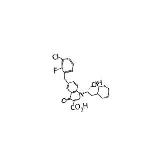 O=C(O)c1cn([C@H](CO)CC2CCCCC2)c2ccc(Cc3cccc(Cl)c3F)cc2c1=O